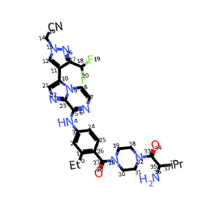 CCc1cc(Nc2nccn3c(-c4cn(CC#N)nc4C(F)F)cnc23)ccc1C(=O)N1CCN(C(=O)C(N)C(C)C)CC1